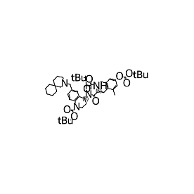 Cc1cc(OC(=O)OC(C)(C)C)cc(C)c1C[C@H](NC(=O)OC(C)(C)C)C(=O)N[C@@H]1CCN(C(=O)OC(C)(C)C)c2ccc(CN3CCCC4(CCCCC4)C3)cc21